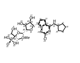 COC[C@](CO)(OC[C@H]1O[C@@H](c2ccc3c(NC4CCCC4)nc(Cl)nn23)[C@H](O)[C@@H]1O)P(=O)(O)O